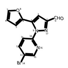 O=Cc1cc(-c2ccco2)n(-c2ccc(Br)cn2)n1